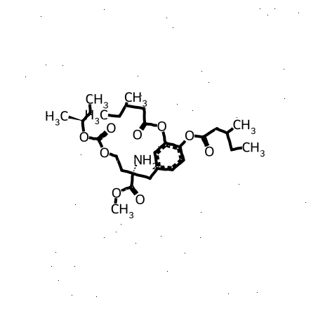 CCC(C)CC(=O)Oc1ccc(C[C@](N)(CCOC(=O)O[C@@H](C)CC)C(=O)OC)cc1OC(=O)CC(C)CC